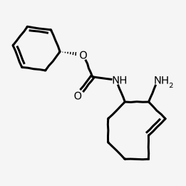 NC1/C=C/CCCCC1NC(=O)O[C@H]1C=CC=CC1